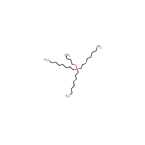 CCCCCCCC[Si](CCCCCCCC)(CCCCCCCC)OCCCC